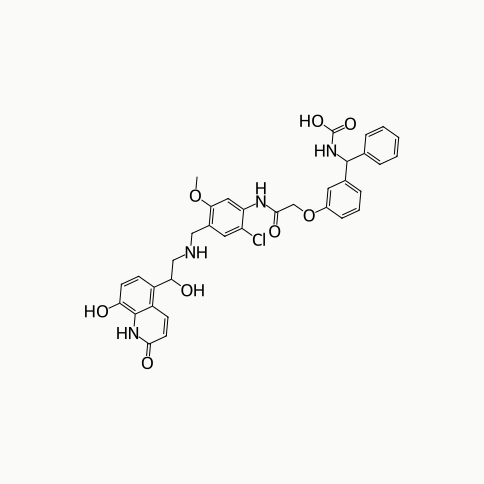 COc1cc(NC(=O)COc2cccc(C(NC(=O)O)c3ccccc3)c2)c(Cl)cc1CNCC(O)c1ccc(O)c2[nH]c(=O)ccc12